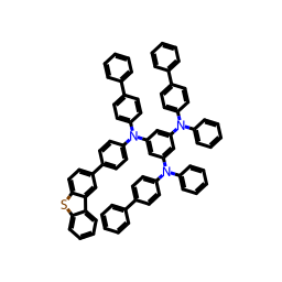 c1ccc(-c2ccc(N(c3ccccc3)c3cc(N(c4ccccc4)c4ccc(-c5ccccc5)cc4)cc(N(c4ccc(-c5ccccc5)cc4)c4ccc(-c5ccc6sc7ccccc7c6c5)cc4)c3)cc2)cc1